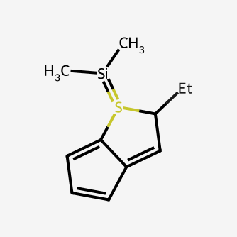 CCC1C=C2C=CC=C2S1=[Si](C)C